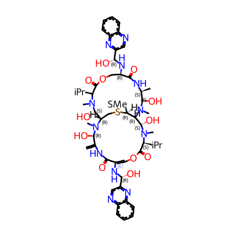 C=C1NC(=O)/C(N[C@H](O)c2cnc3ccccc3n2)=C\OC(=O)[C@H](C(C)C)N(C)[C@@H](O)[C@@H]2[C@H](SC)SC[C@@H]([C@H](O)N(C)C(C(C)C)C(=O)OC[C@@H](N[C@H](O)c3cnc4ccccc4n3)C(=O)N[C@@H](C)[C@@H](O)N2C)N(C)[C@@H]1O